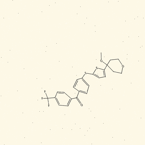 COC1(c2ccc(Sc3ccc(C(=O)c4ccc(C(F)(F)F)cc4)cc3)s2)CCOCC1